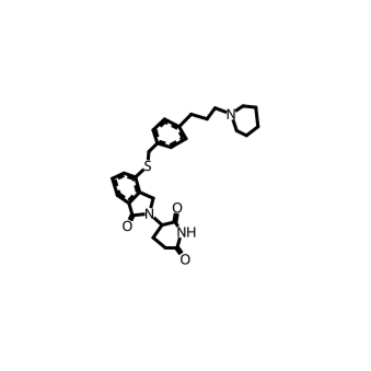 O=C1CCC(N2Cc3c(SCc4ccc(CCCN5CCCCC5)cc4)cccc3C2=O)C(=O)N1